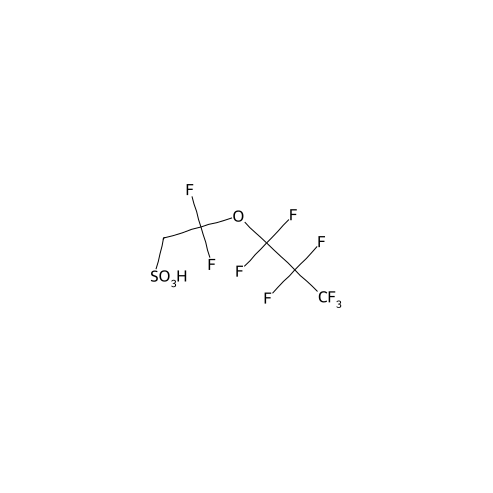 O=S(=O)(O)CC(F)(F)OC(F)(F)C(F)(F)C(F)(F)F